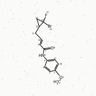 COc1ccc(NC(=O)/C=C/CC2CC2(F)Br)cc1